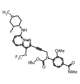 CNC(=O)c1ccc(N(CC#Cc2nn3c(N[C@@H]4CCN(C)C[C@@H]4F)cccc3c2SC(F)(F)F)C(=O)OC(C)(C)C)c(OC)c1